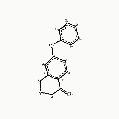 O=C1CCCc2cc(Oc3ccccc3)ccc21